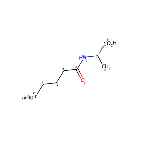 CCCCCCCCCCC(=O)N[C@@H](C)C(=O)O